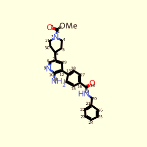 COC(=O)N1CCC(c2cnc(N)c(-c3ccc(C(=O)NCc4ccccc4)cc3)c2)CC1